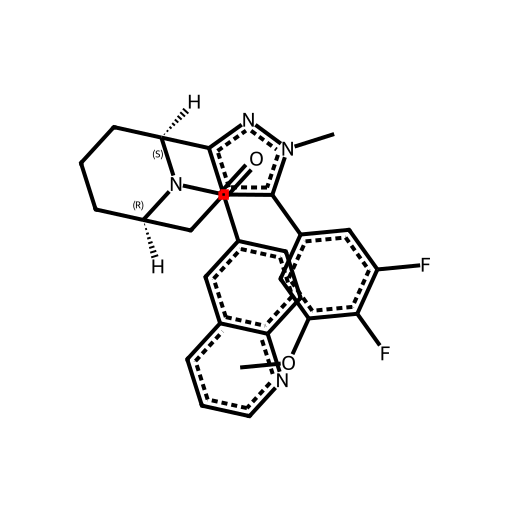 COc1cc(-c2c3c(nn2C)[C@@H]2CCC[C@H](C3)N2C(=O)c2ccc3ncccc3c2)cc(F)c1F